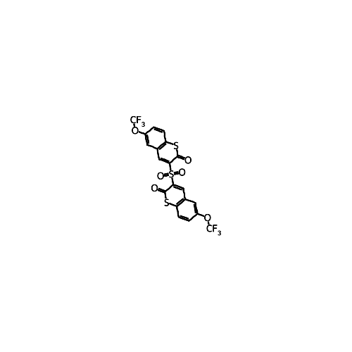 O=c1sc2ccc(OC(F)(F)F)cc2cc1S(=O)(=O)c1cc2cc(OC(F)(F)F)ccc2sc1=O